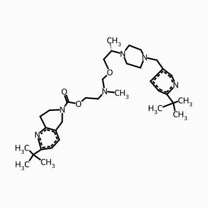 C[C@@H](COCN(C)CCOC(=O)N1CCc2nc(C(C)(C)C)ccc2C1)N1CCN(Cc2ccc(C(C)(C)C)nc2)CC1